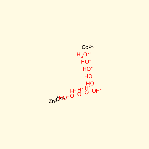 [Co+2].[Cr+3].[OH-].[OH-].[OH-].[OH-].[OH-].[OH-].[OH-].[OH-].[OH-].[OH4+2].[Zn+2]